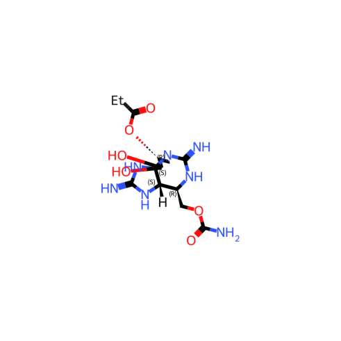 CCC(=O)O[C@@H]1CN2C(=N)N[C@@H](COC(N)=O)[C@@H]3NC(=N)N[C@@]32C1(O)O